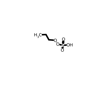 CCCOOS(=O)(=O)O